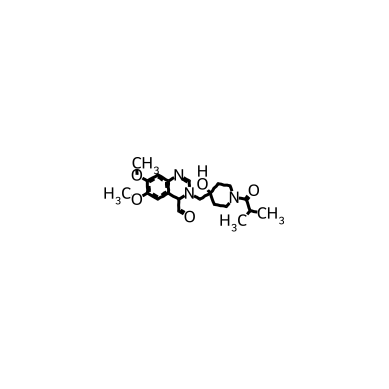 COc1cc2c(cc1OC)C(C=O)N(CC1(O)CCN(C(=O)C(C)C)CC1)C=N2